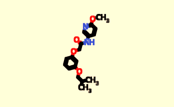 COc1ccc(NC(=O)COc2cccc(OCC(C)C)c2)cn1